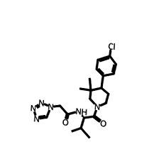 CC(C)[C@@H](NC(=O)Cn1cnnn1)C(=O)N1CCC(c2ccc(Cl)cc2)C(C)(C)C1